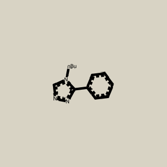 CCCCn1cnnc1-c1ccccc1